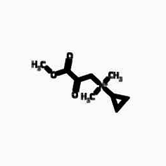 COC(=O)C(=O)C[N+](C)(C)C1CC1